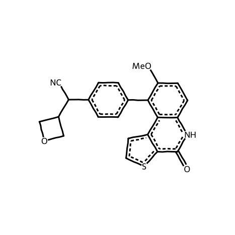 COc1ccc2[nH]c(=O)c3sccc3c2c1-c1ccc(C(C#N)C2COC2)cc1